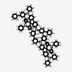 c1ccc(-c2ccc(N(c3ccccc3)c3ccc4c(c3)C3(c5cc(N(c6ccc(-c7ccccc7)cc6)c6cccc(-c7cccc(N(c8ccccc8)c8ccc9c(c8)C8(c%10cc(N(c%11ccccc%11)c%11ccccc%11)ccc%10-9)c9ccccc9N(c9ccccc9)c9ccccc98)c7)c6)ccc5-4)c4ccccc4N(c4ccccc4)c4ccccc43)cc2)cc1